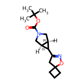 CC(C)(C)OC(=O)N1C[C@@H]2C(C3=NOC4(CCC4)C3)[C@@H]2C1